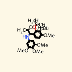 C=C(C(=O)O)C(Nc1cc(OC)c(OC)c(OC)c1)c1ccc(OC)c(C(C)(C)C)c1O[SiH](C)C